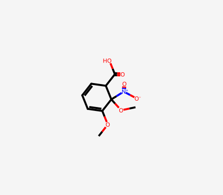 COC1=CC=CC(C(=O)O)C1(OC)[N+](=O)[O-]